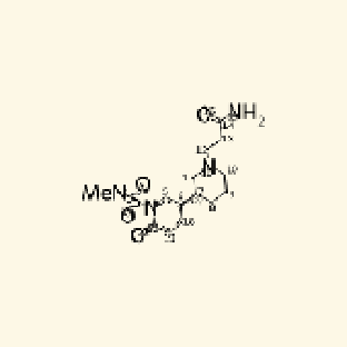 CNS(=O)(=O)n1cc([C@@H]2CCCN(CCC(N)=O)C2)ccc1=O